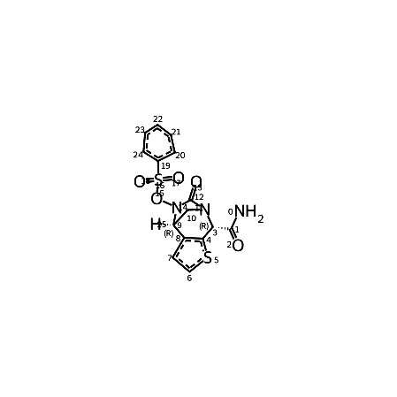 NC(=O)[C@@H]1c2sccc2[C@@H]2CN1C(=O)N2OS(=O)(=O)c1ccccc1